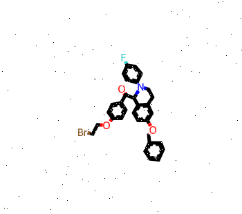 O=C(c1ccc(OCCBr)cc1)C1c2ccc(OCc3ccccc3)cc2CCN1c1ccc(F)cc1